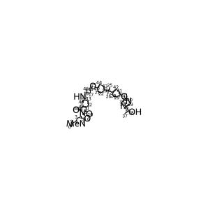 C=CCCC(C(=O)NC)N1C(=O)c2ccc(NC3CC(Oc4ccc(C(C)(C)c5ccc(Oc6cnc(C(C)O)cn6)cc5)cc4)C3)cc2C1=O